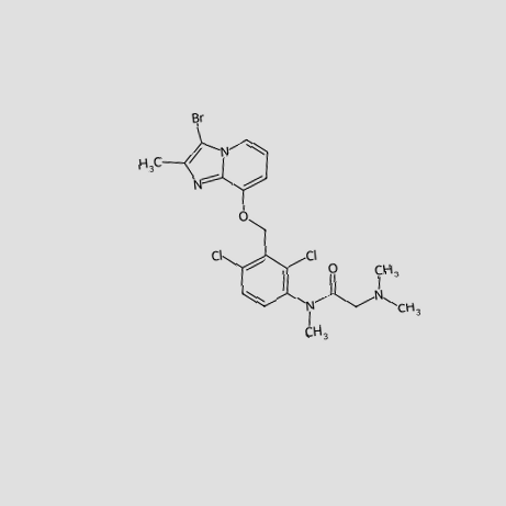 Cc1nc2c(OCc3c(Cl)ccc(N(C)C(=O)CN(C)C)c3Cl)cccn2c1Br